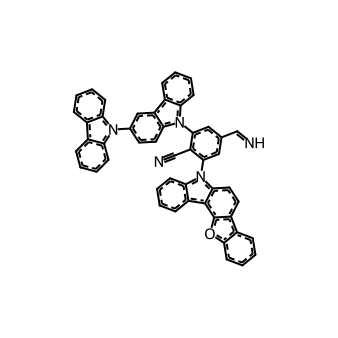 N#Cc1c(-n2c3ccccc3c3cc(-n4c5ccccc5c5ccccc54)ccc32)cc(C=N)cc1-n1c2ccccc2c2c3oc4ccccc4c3ccc21